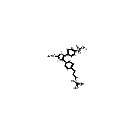 CC(=O)Nc1nc(-c2ccc(CCCNC(=N)N)cc2)c(-c2ccc(S(C)(=O)=O)cc2)s1